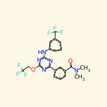 CN(C)C(=O)c1cccc(-c2nc(Nc3cccc(C(F)(F)F)c3)nc(OCC(F)(F)F)n2)c1